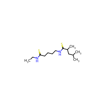 CCNC(=S)CCCCNC(=S)C(C)CC(C)C